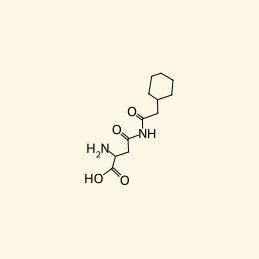 NC(CC(=O)NC(=O)CC1CCCCC1)C(=O)O